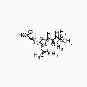 CC[C@H](C)CN1C[C@H](NC(=O)NC(C)(C)C)C[C@H]1COCC(=O)O